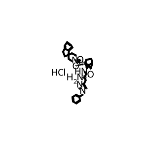 CC1(C)C2CC[C@@]1(CS(=O)(=O)N1CCC3(CCc4ccccc43)CC1)C(NC(=O)[C@@H](N)Cc1cn(Cc3ccccc3)cn1)C2.Cl